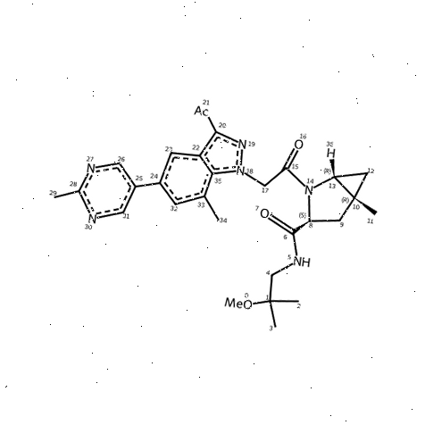 COC(C)(C)CNC(=O)[C@@H]1C[C@@]2(C)C[C@H]2N1C(=O)Cn1nc(C(C)=O)c2cc(-c3cnc(C)nc3)cc(C)c21